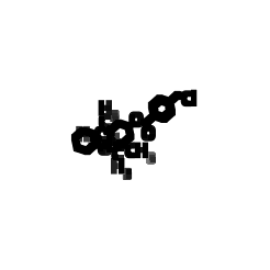 CC1(C)CC(OC(=O)c2ccc(CCl)cc2)CC(C)(C)N1OC1CCCCC1